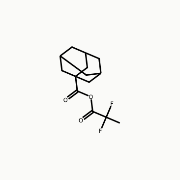 CC(F)(F)C(=O)OC(=O)C12CC3CC(CC(C3)C1)C2